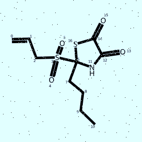 C=CCS(=O)(=O)C1(CCCC)NC(=O)C(=O)S1